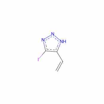 C=Cc1[nH]nnc1I